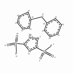 O=S(=O)(F)c1n[nH]c(S(=O)(=O)F)n1.c1ccc([I+]c2ccccc2)cc1